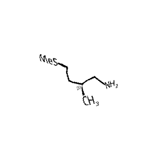 CSCC[C@H](C)CN